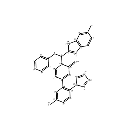 Cc1ccc2nc(C(Cc3ccccc3)n3cnc(-c4cc(Cl)ccc4-n4cnnn4)cc3=O)[nH]c2c1